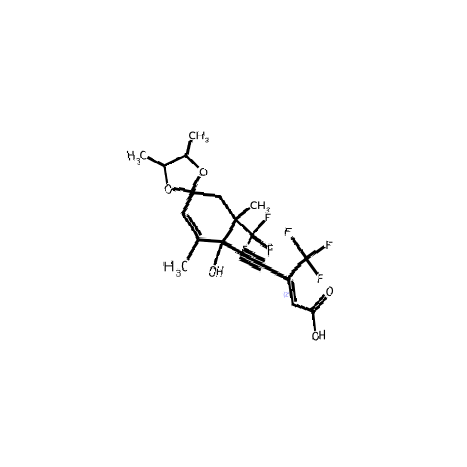 CC1=CC2(CC(C)(C(F)(F)F)C1(O)C#C/C(=C/C(=O)O)C(F)(F)F)OC(C)C(C)O2